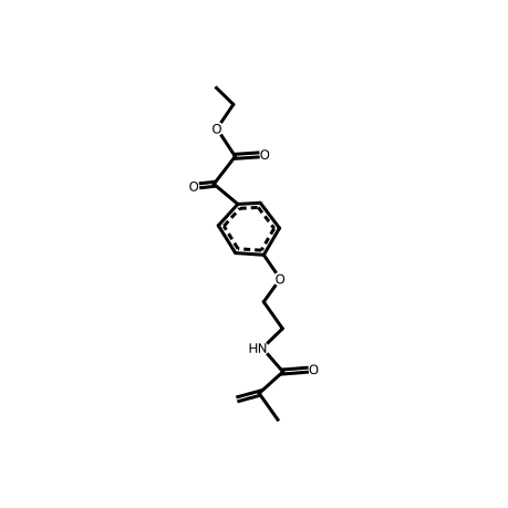 C=C(C)C(=O)NCCOc1ccc(C(=O)C(=O)OCC)cc1